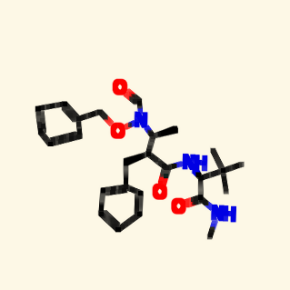 CNC(=O)[C@@H](NC(=O)[C@@H](Cc1ccccc1)[C@H](C)N(C=O)OCc1ccccc1)C(C)(C)C